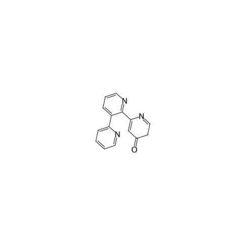 O=C1C=C(c2ncccc2-c2ccccn2)N=CC1